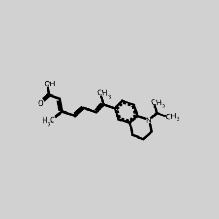 CC(C=CC=C(C)c1ccc2c(c1)CCCN2C(C)C)=CC(=O)O